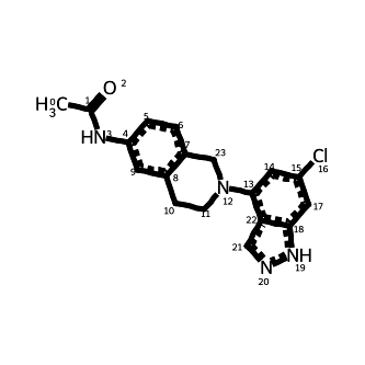 CC(=O)Nc1ccc2c(c1)CCN(c1cc(Cl)cc3[nH]ncc13)C2